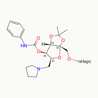 CCCCCCCOC[C@@]12O[C@@H](CN3CCCC3)[C@@H](OC(=O)Nc3ccccc3)[C@@H]1OC(C)(C)O2